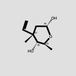 C=C[C@]1(C)C[C@H](O)O[C@@H](C)[C@@H]1O